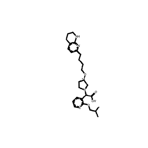 CC(C)COc1ncccc1C(C(=O)O)N1CC[C@@H](OCCCCc2ccc3c(n2)NCCC3)C1